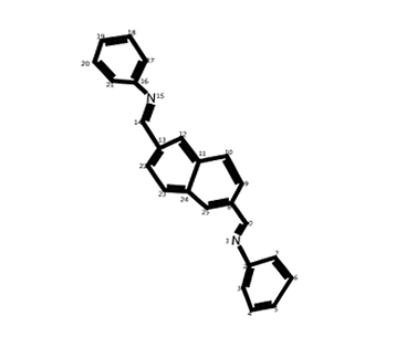 C(=Nc1ccccc1)c1ccc2cc(C=Nc3ccccc3)ccc2c1